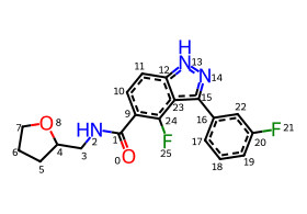 O=C(NCC1CCCO1)c1ccc2[nH]nc(-c3cccc(F)c3)c2c1F